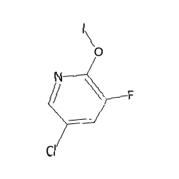 Fc1cc(Cl)cnc1OI